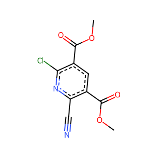 COC(=O)c1cc(C(=O)OC)c(C#N)nc1Cl